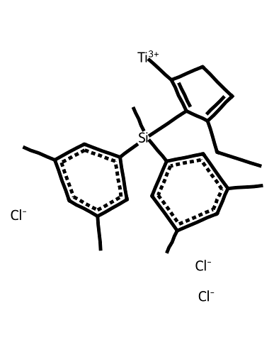 CCC1=CC[C]([Ti+3])=C1[Si](C)(c1cc(C)cc(C)c1)c1cc(C)cc(C)c1.[Cl-].[Cl-].[Cl-]